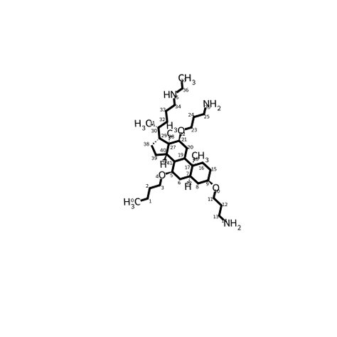 CCCCO[C@@H]1C[C@@H]2C[C@H](OCCCN)CC[C@]2(C)C2C[C@H](OCCCN)[C@]3(C)[C@@H]([C@H](C)CCCNCC)CC[C@H]3C21